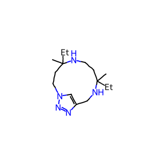 CCC1(C)CCn2cc(nn2)CNC(C)(CC)CCN1